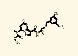 C[C@H](COCc1cc(N)cc(C#N)c1)NC(=O)c1cnn2c(N(C)C(=O)OC(C)(C)C)cc(Cl)nc12